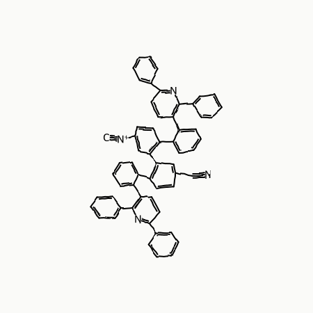 [C-]#[N+]c1ccc(-c2ccccc2-c2ccc(-c3ccccc3)nc2-c2ccccc2)c(-c2cc(C#N)ccc2-c2ccccc2-c2ccc(-c3ccccc3)nc2-c2ccccc2)c1